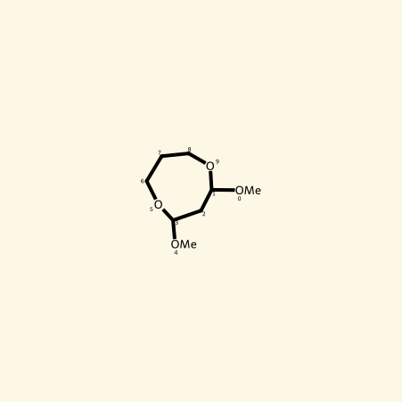 COC1CC(OC)OCCCO1